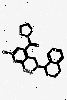 CN(Cc1c(C(=O)N2CCCC2)cc(Cl)nc1Cl)C1CCCc2ccccc21